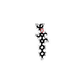 CCc1cc(-c2ccc(C3CCC(C4CCC(C)CC4)CC3)cc2CC)c(CC)cc1OCC(CC)(CC)CC